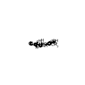 CC(C)(C(=O)O)C1CCC(=COC2NC3=CC(F)=C(c4c(F)cc(N5CCOCC5)cc4F)NC3N2)CC1